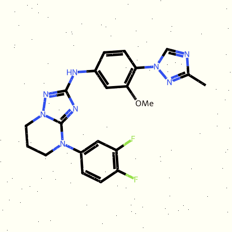 COc1cc(Nc2nc3n(n2)CCCN3c2ccc(F)c(F)c2)ccc1-n1cnc(C)n1